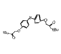 CC(C)(C)C(=O)COc1ccc([I+]c2ccc(OCC(=O)C(C)(C)C)cc2)cc1